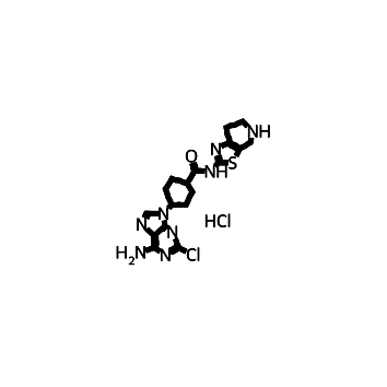 Cl.Nc1nc(Cl)nc2c1ncn2C1CCC(C(=O)Nc2nc3c(s2)CNCC3)CC1